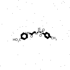 Cc1ccc(S(=O)(=O)NN=CC(=O)Nc2ccc(C(=O)O)cc2)cc1